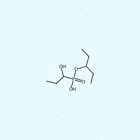 CCC(CC)OP(=O)(O)C(O)CC